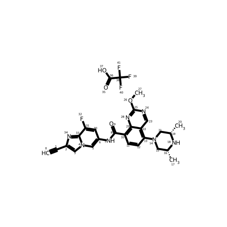 C#Cc1cn2cc(NC(=O)c3ccc(N4C[C@@H](C)N[C@@H](C)C4)c4cnc(OC)nc34)cc(F)c2n1.O=C(O)C(F)(F)F